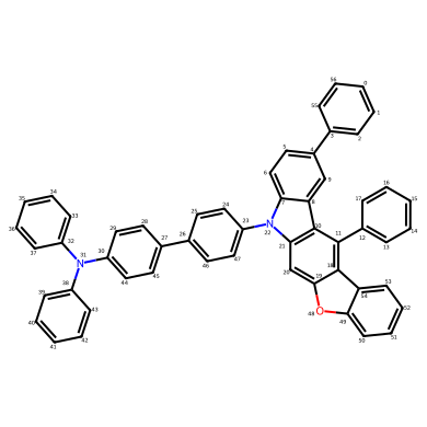 c1ccc(-c2ccc3c(c2)c2c(-c4ccccc4)c4c(cc2n3-c2ccc(-c3ccc(N(c5ccccc5)c5ccccc5)cc3)cc2)oc2ccccc24)cc1